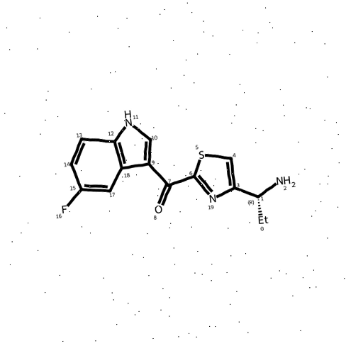 CC[C@@H](N)c1csc(C(=O)c2c[nH]c3ccc(F)cc23)n1